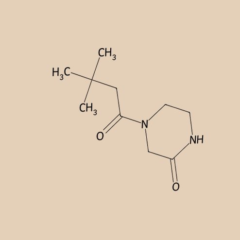 CC(C)(C)CC(=O)N1CCNC(=O)C1